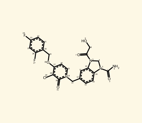 NC(=O)N1CN(C(=O)CO)c2cc(Cn3ccc(OCc4ccc(F)cc4F)c(Cl)c3=O)ccc21